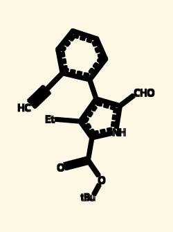 C#Cc1ccccc1-c1c(C=O)[nH]c(C(=O)OC(C)(C)C)c1CC